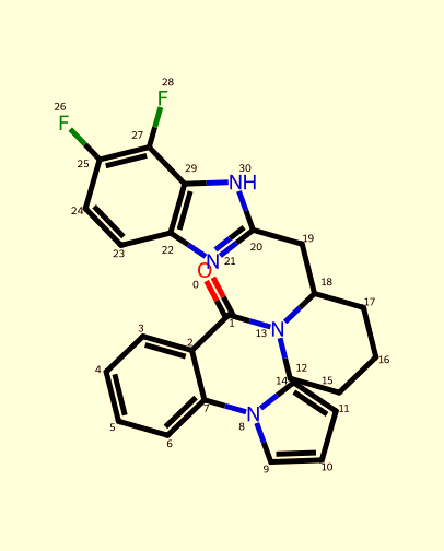 O=C(c1ccccc1-n1cccc1)N1CCCCC1Cc1nc2ccc(F)c(F)c2[nH]1